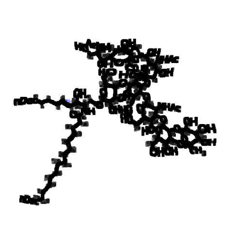 CCCCCCCCCCCCC/C=C/[C@@H](O)[C@H](CO[C@@H]1OC(CO)[C@@H](O[C@@H]2OC(CO)[C@H](O[C@@H]3OC(CO)[C@H](O)[C@H](O[C@@H]4OC(CO)[C@H](O)[C@H](O)C4O[C@H]4OC(C)[C@@H](O)C(O)[C@@H]4O)C3NC(C)=O)[C@H](O[C@]3(C(=O)O)CC(O)[C@@H](NC(C)=O)C([C@H](O)[C@@H](CO)O[C@]4(C(=O)O)CC(O)[C@@H](NC(C)=O)C([C@H](O)[C@H](O)CO)O4)O3)C2O)[C@H](O)C1O)NC(=O)CCCCCCCCCCCCCCCCCCCCCCC